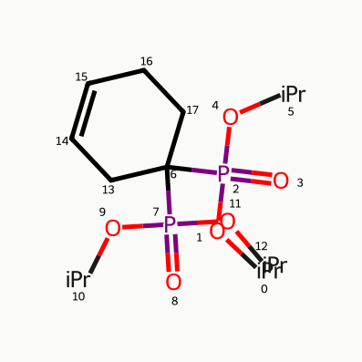 CC(C)OP(=O)(OC(C)C)C1(P(=O)(OC(C)C)OC(C)C)CC=CCC1